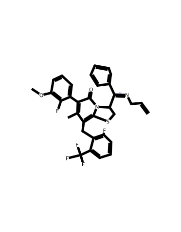 C=CC/N=C(/c1ccccc1)C1CSc2c(Cc3c(F)cccc3C(F)(F)F)c(C)c(-c3cccc(OC)c3F)c(=O)n21